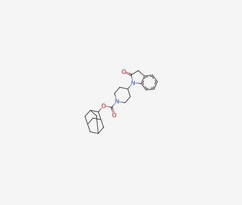 O=C(OC1C2CC3CC(C2)CC1C3)N1CCC(N2C(=O)Cc3ccccc32)CC1